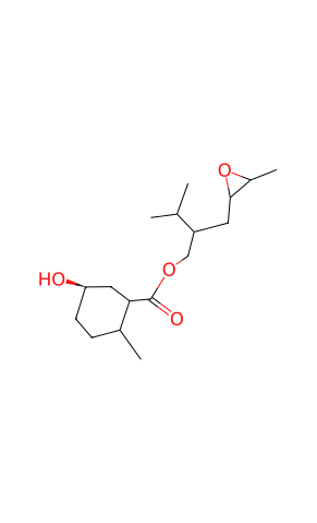 CC(C)C(COC(=O)C1C[C@H](O)CCC1C)CC1OC1C